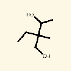 CCC(C)(CO)C(C)O